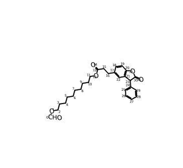 O=COCCCCCCCCCCOC(=O)CCc1ccc2c(c1)C(c1ccccc1)C(=O)O2